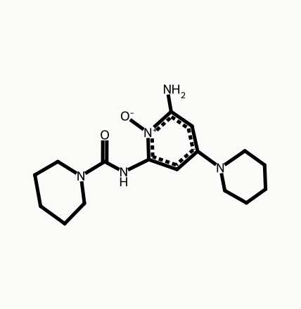 Nc1cc(N2CCCCC2)cc(NC(=O)N2CCCCC2)[n+]1[O-]